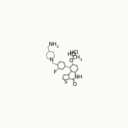 COc1ccc2[nH]c(=O)c3sccc3c2c1-c1ccc(CN2CCC(CN)CC2)c(F)c1.Cl.Cl